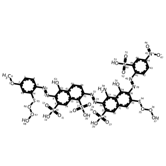 COc1ccc(N=Nc2c(S(=O)(=O)O)cc3c(S(=O)(=O)O)c(N=Nc4c(S(=O)(=O)O)cc5cc(SOOO)c(N=Nc6ccc([N+](=O)[O-])cc6S(=O)(=O)O)c(O)c5c4N)ccc3c2O)c(SOOO)c1